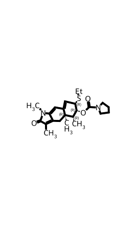 CCS[C@@H]1C=C2C=C3C(=C(C)C(=O)N3C)C[C@]2(C)[C@@H](C)[C@H]1OC(=O)N1CCCC1